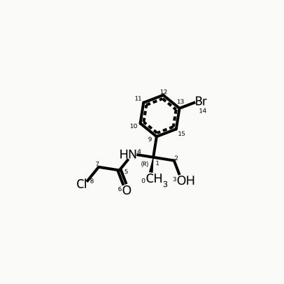 C[C@@](CO)(NC(=O)CCl)c1cccc(Br)c1